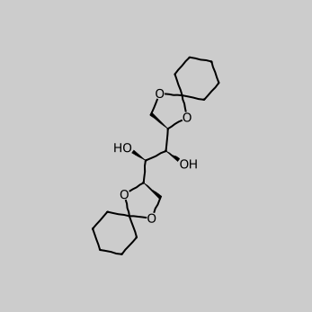 O[C@@H]([C@H](O)[C@H]1COC2(CCCCC2)O1)[C@H]1COC2(CCCCC2)O1